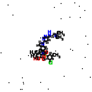 Cc1cc(Cl)cc(S(=O)(=O)N(c2ccc3c(ccn3-c3ccc(NCCN(C)C)nn3)c2)C(C(=O)O)C(C)(C)C)c1